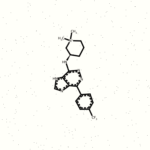 C[N+]1(C)CCC[C@@H](Nc2nnc(-c3ccc(C(F)(F)F)cc3)c3nc[nH]c23)C1